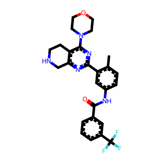 Cc1ccc(NC(=O)c2cccc(C(F)(F)F)c2)cc1-c1nc2c(c(N3CCOCC3)n1)CCNC2